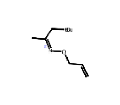 C=CCO/N=C(/C)CC(C)(C)C